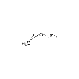 CN1CCN(CCc2ccc(/C=C/C(=O)CC(=O)/C=C/c3ccc4cc[nH]c4c3)cc2)CC1